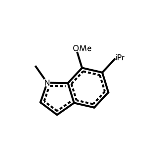 COc1c(C(C)C)ccc2ccn(C)c12